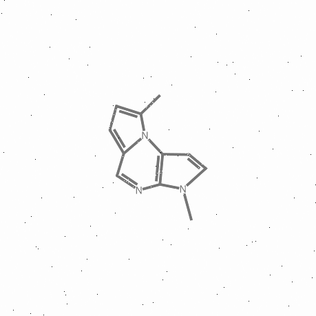 Cc1ccc2cnc3c(ccn3C)n12